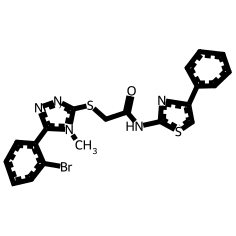 Cn1c(SCC(=O)Nc2nc(-c3ccccc3)cs2)nnc1-c1ccccc1Br